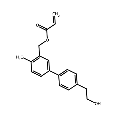 C=CC(=O)OCc1cc(-c2ccc(CCO)cc2)ccc1C